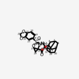 NC(=O)C12CC3CC(C1)C(NC(=O)C1(NS(=O)(=O)c4ccc5c(c4)OCO5)CC1)C(C3)C2